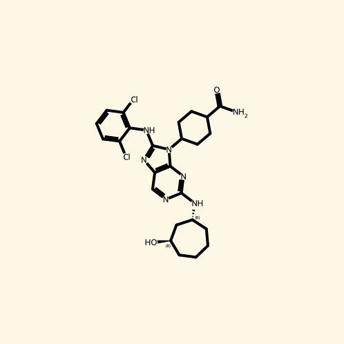 NC(=O)C1CCC(n2c(Nc3c(Cl)cccc3Cl)nc3cnc(N[C@@H]4CCCC[C@@H](O)C4)nc32)CC1